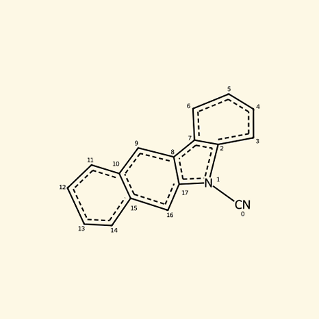 N#Cn1c2ccccc2c2cc3ccccc3cc21